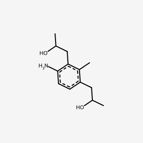 Cc1c(CC(C)O)ccc(N)c1CC(C)O